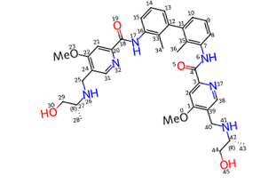 COc1cc(C(=O)Nc2cccc(-c3cccc(NC(=O)c4cc(OC)c(CN[C@H](C)CO)cn4)c3C)c2C)ncc1CN[C@H](C)CO